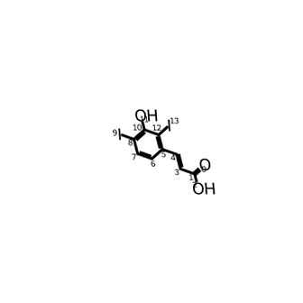 O=C(O)/C=C/c1ccc(I)c(O)c1I